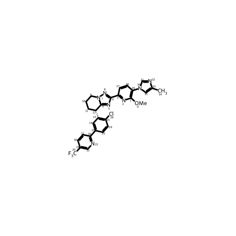 COc1nc(-c2nc3n(n2)CCC[C@H]3c2cc(-c3ccc(C(F)(F)F)cn3)ccc2Cl)ccc1-n1cnc(C)c1